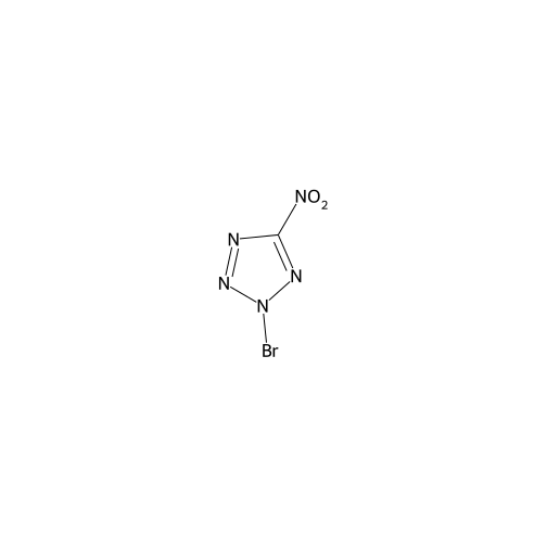 O=[N+]([O-])c1nnn(Br)n1